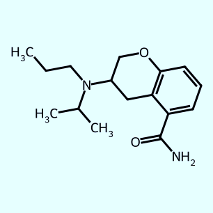 CCCN(C(C)C)C1COc2cccc(C(N)=O)c2C1